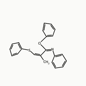 CC(=CSc1ccccc1)C(=Nc1ccccc1)Oc1ccccc1